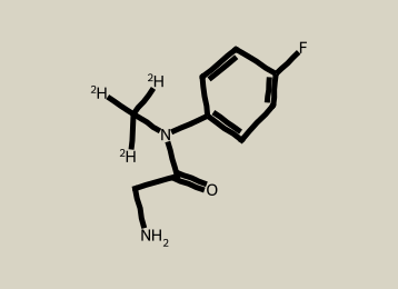 [2H]C([2H])([2H])N(C(=O)CN)c1ccc(F)cc1